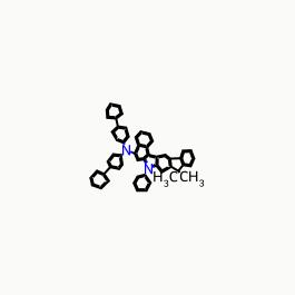 CC1(C)c2ccccc2-c2cc3c4c5ccccc5c(N(c5ccc(-c6ccccc6)cc5)c5ccc(-c6ccccc6)cc5)cc4n(-c4ccccc4)c3cc21